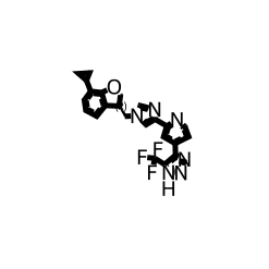 FC(F)(F)c1[nH]nnc1-c1ccnc(-c2cn(C[C@@H]3COc4c(C5CC5)cccc43)cn2)c1